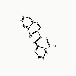 O=C(O)c1ccccc1C=Cc1ccc2cccnc2n1